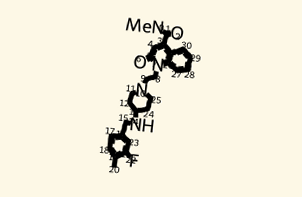 CNC(=O)c1cc(=O)n(CCN2CCC(NCc3ccc(C)c(F)c3)CC2)c2ccccc12